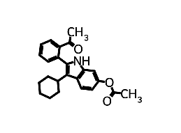 CC(=O)Oc1ccc2c(C3CCCCC3)c(-c3ccccc3C(C)=O)[nH]c2c1